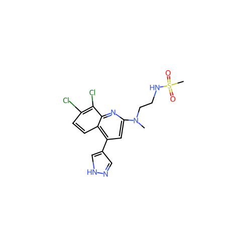 CN(CCNS(C)(=O)=O)c1cc(-c2cn[nH]c2)c2ccc(Cl)c(Cl)c2n1